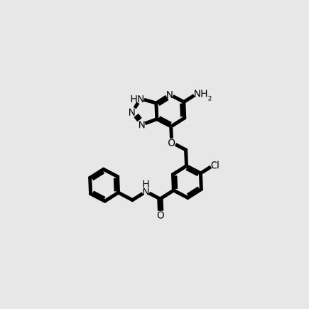 Nc1cc(OCc2cc(C(=O)NCc3ccccc3)ccc2Cl)c2nn[nH]c2n1